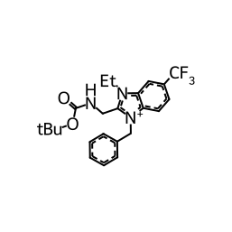 CCn1c(CNC(=O)OC(C)(C)C)[n+](Cc2ccccc2)c2ccc(C(F)(F)F)cc21